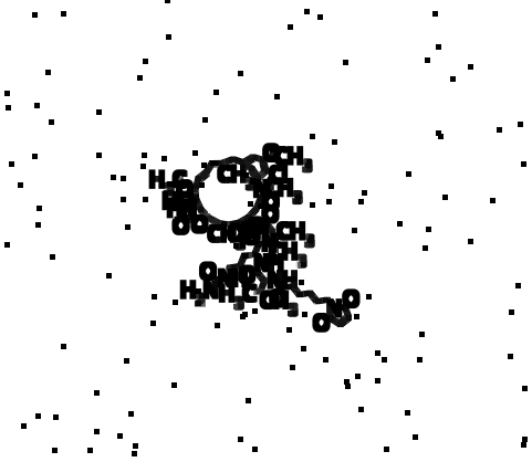 COc1cc2cc(c1Cl)N(C)C(=O)C[C@H](OC(=O)[C@H](C)N(C)C(=O)[C@H](CCCNC(N)=O)NC(=O)[C@@H](NC(=O)CCCCCN1C(=O)C=CC1=O)C(C)C)C1(C)OC1C(C)C1CC(O)(NC(=O)O1)C(OC)/C=C/C=C(\C)C2